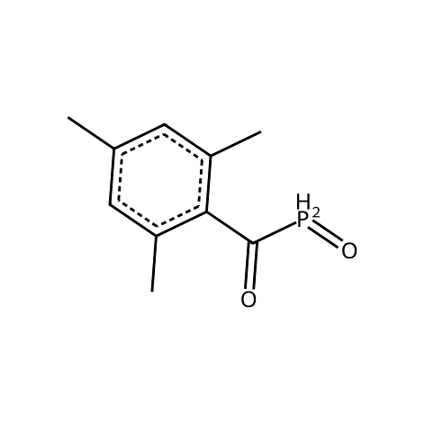 Cc1cc(C)c(C(=O)[PH2]=O)c(C)c1